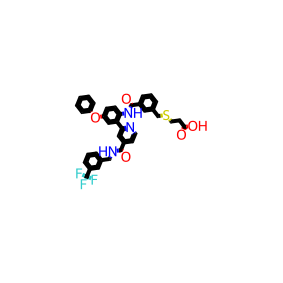 O=C(O)CCSCc1cccc(C(=O)Nc2ccc(Oc3ccccc3)cc2-c2cc(C(=O)NCc3cccc(C(F)(F)F)c3)ccn2)c1